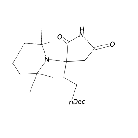 CCCCCCCCCCCCC1(N2C(C)(C)CCCC2(C)C)CC(=O)NC1=O